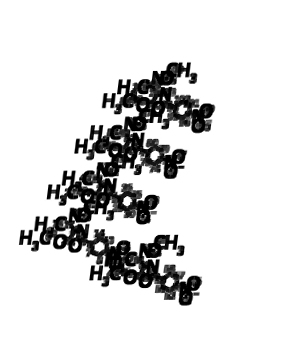 CCOc1oc(-c2ccc([N+](=O)[O-])cc2)nc1/C(C)=N\OC.CCOc1oc(-c2ccc([N+](=O)[O-])cc2)nc1/C(C)=N\OC.CCOc1oc(-c2ccc([N+](=O)[O-])cc2)nc1/C(C)=N\OC.CCOc1oc(-c2ccc([N+](=O)[O-])cc2)nc1/C(C)=N\OC.CCOc1oc(-c2ccc([N+](=O)[O-])cc2)nc1/C(C)=N\OC